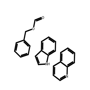 O=COCc1ccccc1.c1ccc2[nH]ccc2c1.c1ccc2ncccc2c1